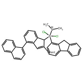 CCCCCC1=Cc2c(-c3cccc4ccccc34)cccc2[CH]1[Zr]([Cl])([Cl])([c]1cccc2c1Cc1ccccc1-2)[SiH](C)C